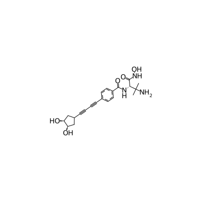 CC(C)(N)[C@H](NC(=O)c1ccc(C#CC#CC2C[C@@H](O)[C@@H](O)C2)cc1)C(=O)NO